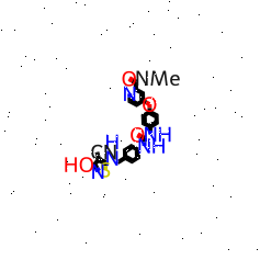 CNC(=O)c1cc(Oc2ccc(NC(=O)Nc3ccc(CNc4snc(O)c4C#N)cc3)cc2)ccn1